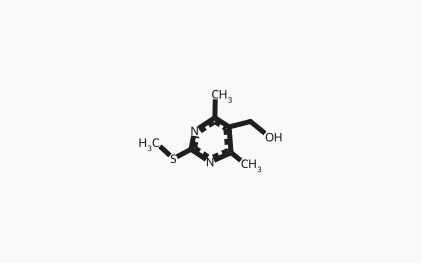 CSc1nc(C)c(CO)c(C)n1